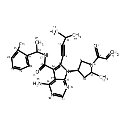 C=CC(=O)N1CC(n2c(C#CC(C)C)c(C(=O)NC(C)c3ccccc3F)c3c(N)ncnc32)CC1C